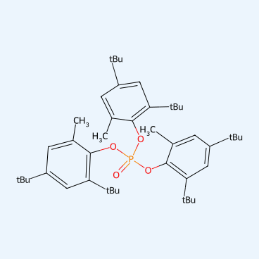 Cc1cc(C(C)(C)C)cc(C(C)(C)C)c1OP(=O)(Oc1c(C)cc(C(C)(C)C)cc1C(C)(C)C)Oc1c(C)cc(C(C)(C)C)cc1C(C)(C)C